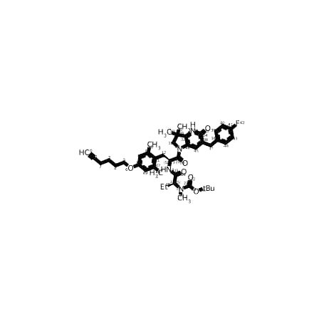 C#CCCCCOc1cc(C)c(C[C@H](NC(=O)[C@H](CC)N(C)C(=O)OC(C)(C)C)C(=O)N2CC(C)(C)c3[nH]c(=O)c(Cc4ccc(F)cc4)cc32)c(C)c1